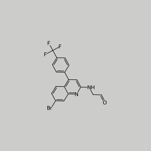 O=CCNc1cc(-c2ccc(C(F)(F)F)cc2)c2ccc(Br)cc2n1